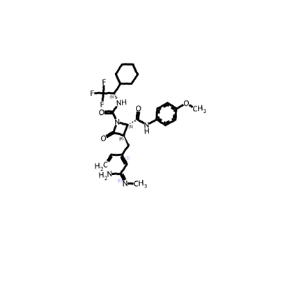 C=C/C(=C\C(N)=N/C)C[C@H]1C(=O)N(C(=O)N[C@@H](C2CCCCC2)C(F)(F)F)[C@@H]1C(=O)Nc1ccc(OC)cc1